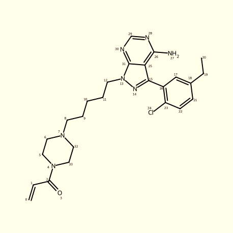 C=CC(=O)N1CCN(CCCCCn2nc(-c3cc(CC)ccc3Cl)c3c(N)ncnc32)CC1